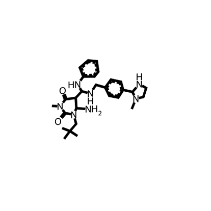 CN1C(=O)C(C(NCc2ccc(C3NCCN3C)cc2)Nc2ccccc2)C(N)N(CC(C)(C)C)C1=O